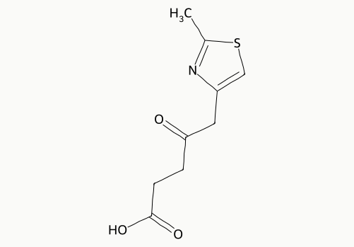 Cc1nc(CC(=O)CCC(=O)O)cs1